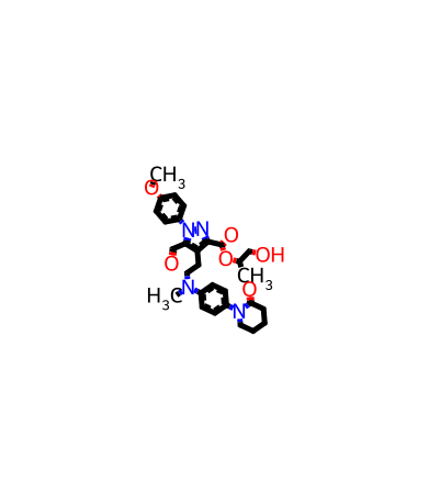 COc1ccc(-n2nc(C(=O)OC(C)CO)c(CCN(C)c3ccc(N4CCCCC4=O)cc3)c2C=O)cc1